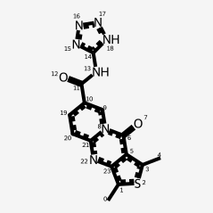 Cc1sc(C)c2c(=O)n3cc(C(=O)Nc4nnn[nH]4)ccc3nc12